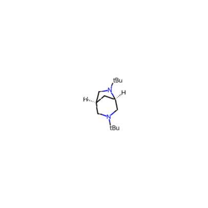 CC(C)(C)N1C[C@@H]2C[C@H](C1)N(C(C)(C)C)C2